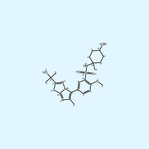 COc1ccc(-c2c(C)nc3sc(C(C)(C)O)nn23)cc1S(=O)(=O)NC1(C)CCC(O)CC1